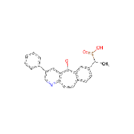 CC(c1ccc2ccc3ncc(-c4ccccc4)cc3c(=O)c2c1)S(=O)O